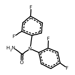 NC(=O)N(c1ccc(F)cc1F)c1ccc(F)cc1F